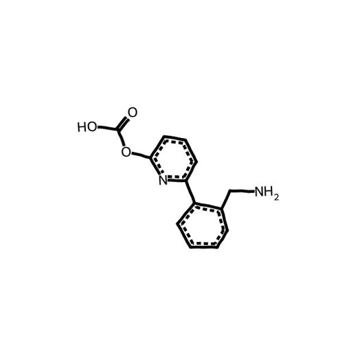 NCc1ccccc1-c1cccc(OC(=O)O)n1